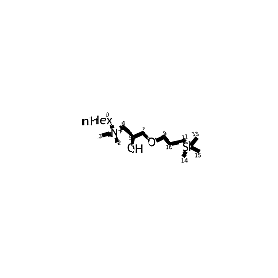 CCCCCC[N+](C)(C)CC(O)COCCC[Si](C)(C)C